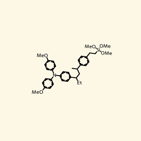 CCC(CC(C)c1ccc(CC[Si](OC)(OC)OC)cc1)c1ccc(N(c2ccc(OC)cc2)c2ccc(OC)cc2)cc1